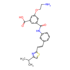 CC(C)c1csc(C=Cc2cccc(NC(=O)c3cc(OCCN)cc(C(=O)O)c3)c2)n1